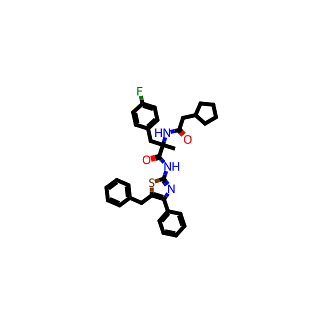 CC(Cc1ccc(F)cc1)(NC(=O)CC1CCCC1)C(=O)Nc1nc(-c2ccccc2)c(Cc2ccccc2)s1